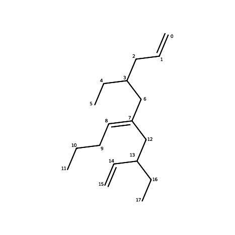 C=CCC(CC)CC(=CCCC)CC(C=C)CC